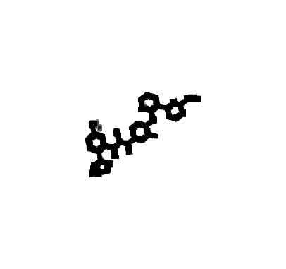 CNc1nccc(-c2cccnc2Oc2ccc(NC(=O)Nc3cc(C(F)(F)F)ccc3-c3nc[nH]n3)cc2C)n1